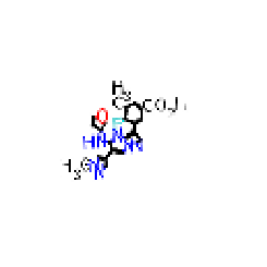 Cc1cc(C(=O)O)cc(-c2cnn3cc(-c4cnn(C)c4)c(NC4CCOC4)nc23)c1F